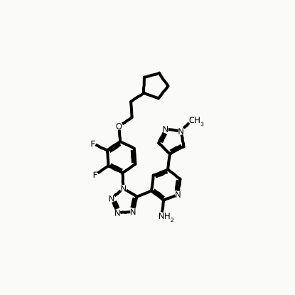 Cn1cc(-c2cnc(N)c(-c3nnnn3-c3ccc(OCCC4CCCC4)c(F)c3F)c2)cn1